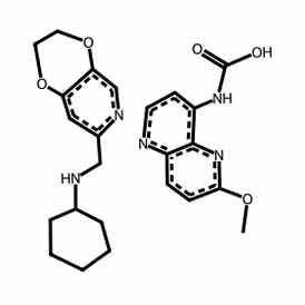 COc1ccc2nccc(NC(=O)O)c2n1.c1nc(CNC2CCCCC2)cc2c1OCCO2